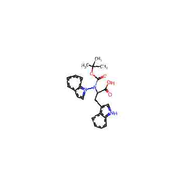 CC(C)(C)OC(=O)N(C(Cc1c[nH]c2ccccc12)C(=O)O)n1ccc2ccccc21